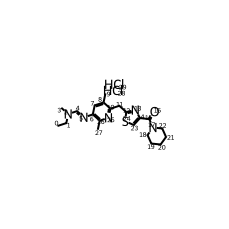 CCN(C)C=Nc1cc(C)c(Cc2nc(C(=O)N3CCCCC3)cs2)nc1C.Cl.Cl